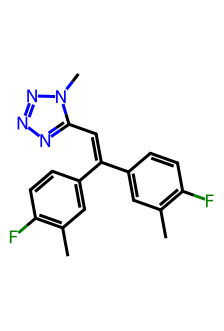 Cc1cc(C(=Cc2nnnn2C)c2ccc(F)c(C)c2)ccc1F